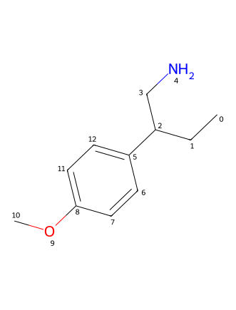 CCC(CN)c1ccc(OC)cc1